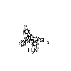 CCOCc1nn2c(-c3ccc(F)cc3)cc(N3[CH]CCC3)nc2c1-c1ccc(CN)cc1